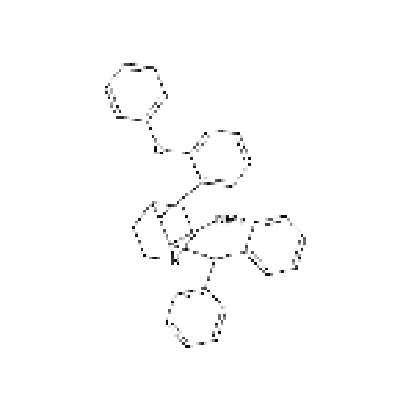 CNC1(C(c2ccccc2)c2ccccc2)C(c2ccccc2Oc2ccccc2)C2CCN1CC2